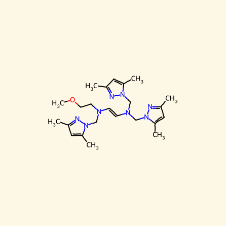 COCCN(C=CN(Cn1nc(C)cc1C)Cn1nc(C)cc1C)Cn1nc(C)cc1C